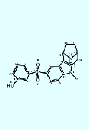 Cn1c2c(c3cc(S(=O)(=O)c4cccc(O)c4)ccc31)C1CCC(C2)N1